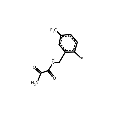 NC(=O)C(=O)NCc1cc(C(F)(F)F)ccc1F